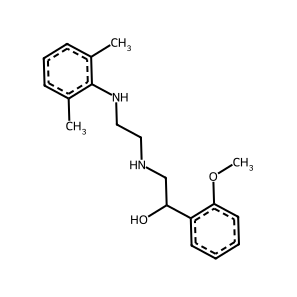 COc1ccccc1C(O)CNCCNc1c(C)cccc1C